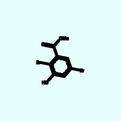 COC(=O)c1cc(Br)cc(O)c1Br